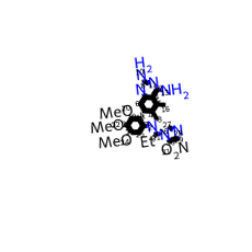 CCC(N(Cc1ccc2nc(N)nc(N)c2c1C)c1cc(OC)c(OC)c(OC)c1)n1cncc1[N+](=O)[O-]